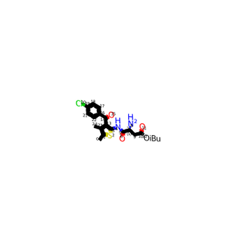 Cc1sc(NC(=O)[C@@H](N)CC(=O)OCC(C)C)c(C(=O)c2ccc(Cl)cc2)c1C